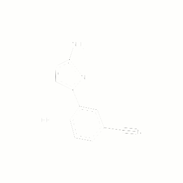 Br.N#Cc1cccc(-c2csc(N)n2)c1